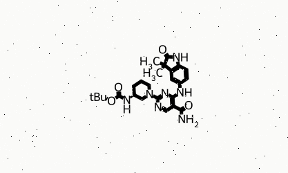 CC(C)(C)OC(=O)N[C@H]1CCCN(c2ncc(C(N)=O)c(Nc3ccc4c(c3)C(C)(C)C(=O)N4)n2)C1